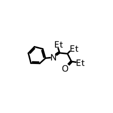 CCC(=O)C(CC)C(CC)=Nc1ccccc1